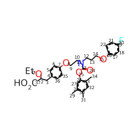 CCOC(Cc1ccc(OCCN(CCCOc2ccc(F)cc2)C(=O)Oc2cc(C)c(C)cc2C)cc1)C(=O)O